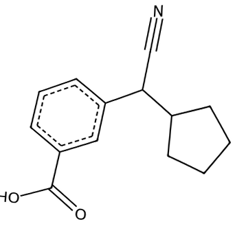 N#CC(c1cccc(C(=O)O)c1)C1CCCC1